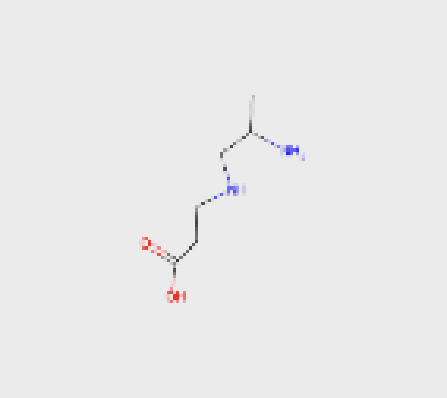 CC(N)CNCCC(=O)O